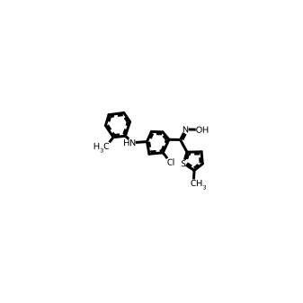 Cc1ccc(/C(=N\O)c2ccc(Nc3ccccc3C)cc2Cl)s1